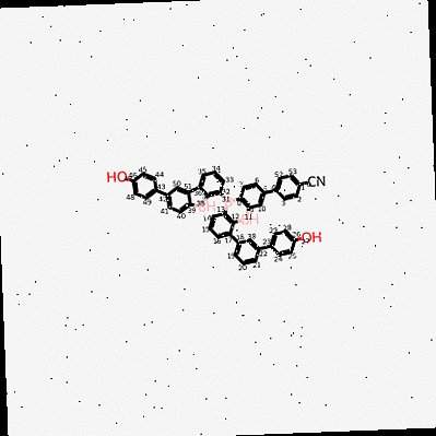 N#Cc1ccc(-c2ccc3c(c2)Bc2c(cccc2-c2cccc(-c4ccc(O)cc4)c2)B3c2cccc3c2Bc2ccc(-c4ccc(O)cc4)cc2-3)cc1